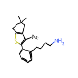 CC(=O)c1c(-c2ccccc2CCCCN)sc2c1CC(C)(C)CC2